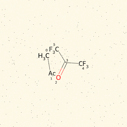 CC(C)=O.O=C(C(F)(F)F)C(F)(F)F